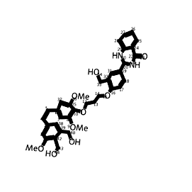 COc1cc(/C=C\c2cc(OC)c(OCCCOc3ccc(C4NC(=O)c5ccccc5N4)cc3CO)c(OC)c2)cc(CO)c1CO